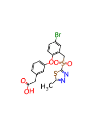 Cc1nnc(S(=O)(=O)Cc2cc(Br)ccc2Oc2cccc(CC(=O)O)c2)s1